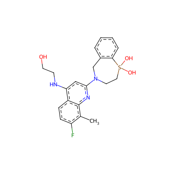 Cc1c(F)ccc2c(NCCO)cc(N3CCS(O)(O)c4ccccc4C3)nc12